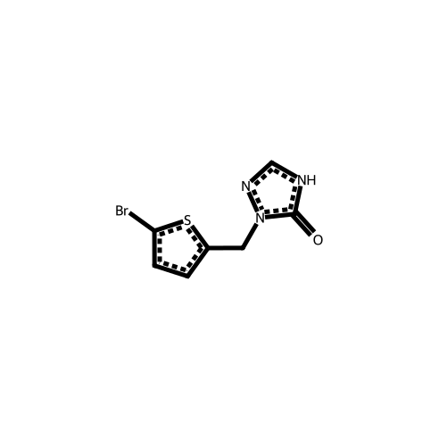 O=c1[nH]cnn1Cc1ccc(Br)s1